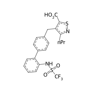 CCCc1nsc(C(=O)O)c1Cc1ccc(-c2ccccc2NS(=O)(=O)C(F)(F)F)cc1